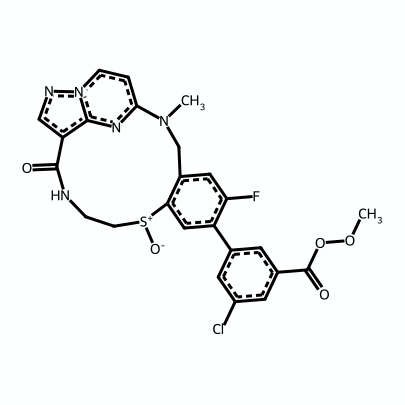 COOC(=O)c1cc(Cl)cc(-c2cc3c(cc2F)CN(C)c2ccn4ncc(c4n2)C(=O)NCC[S+]3[O-])c1